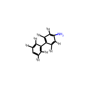 [2H]c1cc([2H])c([2H])c(-c2c([2H])c([2H])c(N)c([2H])c2[2H])c1[2H]